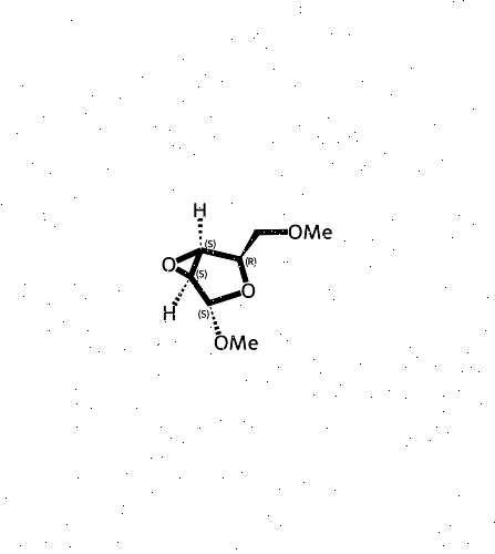 COC[C@H]1O[C@H](OC)[C@H]2O[C@H]21